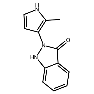 Cc1[nH]ccc1-n1[nH]c2ccccc2c1=O